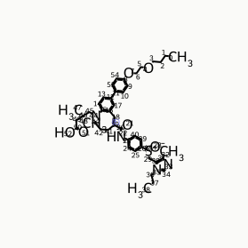 CCCCOCCOc1ccc(-c2ccc3c(c2)/C=C(/C(=O)Nc2ccc([S@@+]([O-])Cc4c(C)ncn4CCC)cc2)CCCN3CC(C)(C)CC(=O)O)cc1